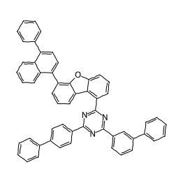 c1ccc(-c2ccc(-c3nc(-c4cccc(-c5ccccc5)c4)nc(-c4cccc5oc6c(-c7ccc(-c8ccccc8)c8ccccc78)cccc6c45)n3)cc2)cc1